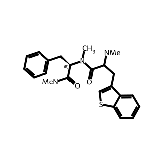 CNC(=O)[C@@H](Cc1ccccc1)N(C)C(=O)C(Cc1csc2ccccc12)NC